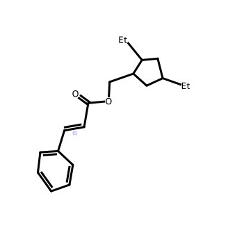 CCC1CC(CC)C(COC(=O)/C=C/c2ccccc2)C1